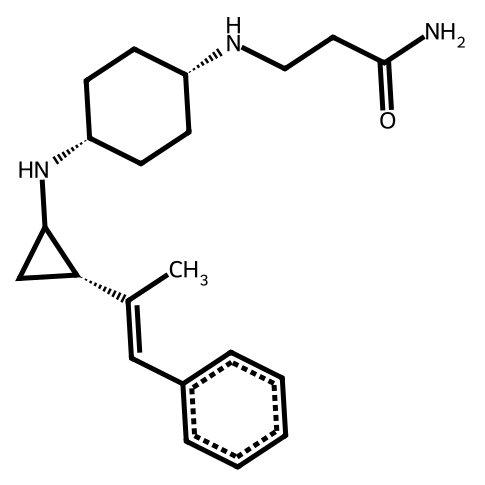 C/C(=C\c1ccccc1)[C@@H]1CC1N[C@H]1CC[C@@H](NCCC(N)=O)CC1